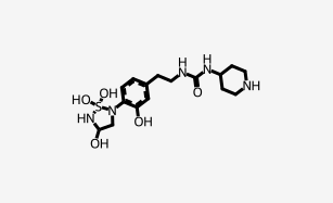 O=C(NCCc1ccc(N2CC(O)NS2(O)O)c(O)c1)NC1CCNCC1